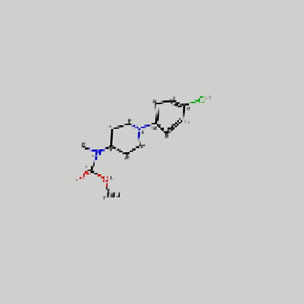 CN(C(=O)OC(C)(C)C)C1CCN(c2ccc(Cl)cc2)CC1